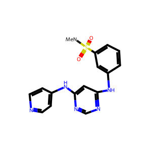 CNS(=O)(=O)c1cccc(Nc2cc(Nc3ccncc3)ncn2)c1